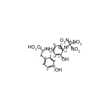 NC(Cc1ccc(O)cc1)C(=O)O.O=[N+]([O-])C([N+](=O)[O-])([N+](=O)[O-])[N+](=O)[O-].Oc1ccccc1